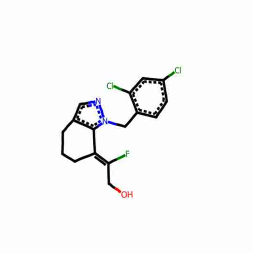 OCC(F)=C1CCCc2cnn(Cc3ccc(Cl)cc3Cl)c21